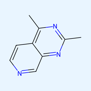 Cc1nc(C)c2ccncc2n1